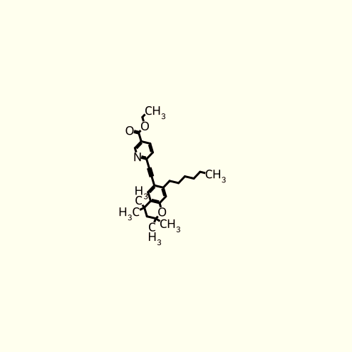 CCCCCCc1cc2c(cc1C#Cc1ccc(C(=O)OCC)cn1)C(C)(C)CC(C)(C)O2